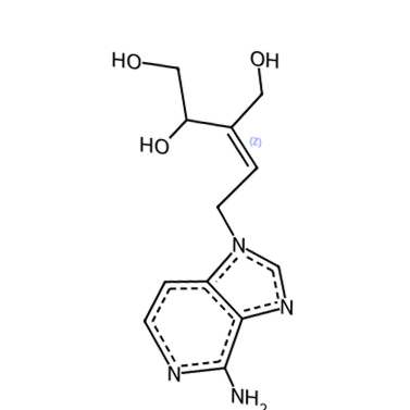 Nc1nccc2c1ncn2C/C=C(/CO)C(O)CO